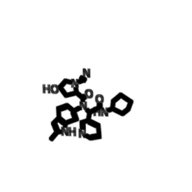 Cc1cc2ccc(N(C(=O)C3CC(O)CN3C#N)C(C(=O)NC3CCCCC3)c3cccnc3)cc2[nH]1